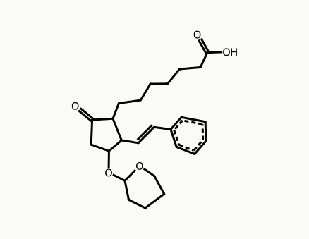 O=C(O)CCCCCCC1C(=O)CC(OC2CCCCO2)C1C=Cc1ccccc1